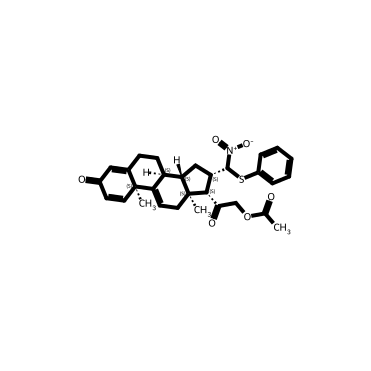 CC(=O)OCC(=O)[C@H]1[C@@H](C(Sc2ccccc2)[N+](=O)[O-])C[C@H]2[C@@H]3CCC4=CC(=O)C=C[C@]4(C)C3=CC[C@@]21C